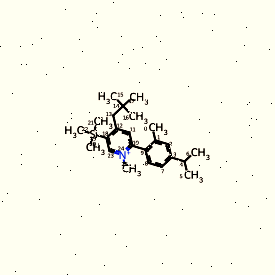 Cc1cc(C(C)C)ccc1-c1cc(CC(C)(C)C)c([Si](C)(C)C)c[n+]1C